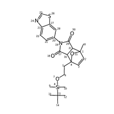 CC12C=CC(CCO[Si](C)(C)C(C)(C)C)(O1)C1C(=O)N(c3ccc4ncsc4c3)C(=O)C12